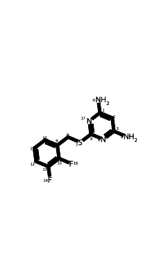 Nc1cc(N)nc(SCc2cccc(F)c2F)n1